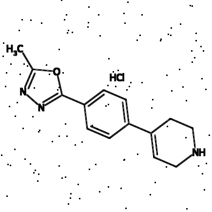 Cc1nnc(-c2ccc(C3=CCNCC3)cc2)o1.Cl